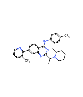 CC1CCCCN1C(C)c1nc(Nc2ccc(C(F)(F)F)cc2)c2ccc(-c3ncccc3C(F)(F)F)cc2n1